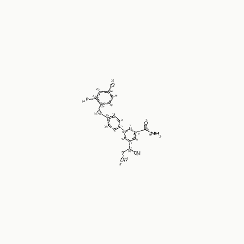 NC(=O)c1cc([C@@H](O)CO)cc(-c2ccc(Oc3ccc(Cl)cc3F)cc2)n1